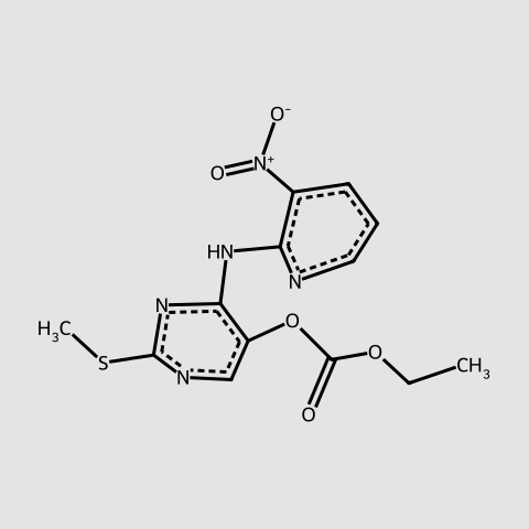 CCOC(=O)Oc1cnc(SC)nc1Nc1ncccc1[N+](=O)[O-]